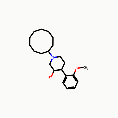 COc1ccccc1C1CCN(C2CCCCCCCCC2)CC1O